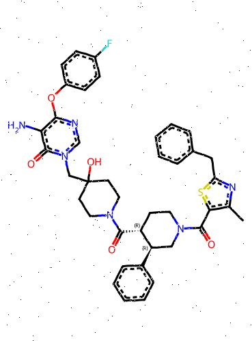 Cc1nc(Cc2ccccc2)sc1C(=O)N1CC[C@@H](C(=O)N2CCC(O)(Cn3cnc(Oc4ccc(F)cc4)c(N)c3=O)CC2)[C@H](c2ccccc2)C1